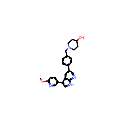 COc1ccc(-c2c[nH]c3ncc(-c4ccc(CN5CCC(O)CC5)cc4)cc23)cn1